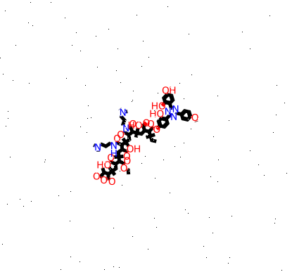 CCOC(=O)C(C(CC(C)(C)C1C(=O)OC(=O)C1C)C(=O)O)C(C)(C)CC(C(=O)O)C(C(=O)NCCCN(C)C)C(C)(C)CC1C(=O)N(CCCN(C)C)C(=O)C1C(C)(C)CC(C(=O)O)C(C(=O)Oc1ccc(-c2nc(-c3ccc(OC)cc3)nc(-c3ccc(O)cc3O)n2)c(O)c1)C(C)(C)CC